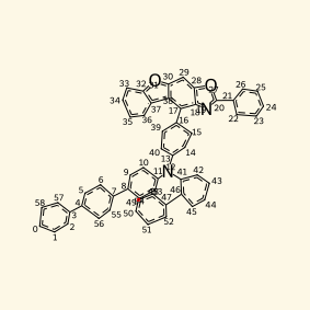 c1ccc(-c2ccc(-c3ccc(N(c4ccc(-c5c6nc(-c7ccccc7)oc6cc6oc7ccccc7c56)cc4)c4ccccc4-c4ccccc4)cc3)cc2)cc1